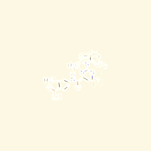 Cc1cc(NC(=O)c2cc(C(F)(F)F)nc(N(C(C)C)C(C)C)n2)ccc1C(=O)O